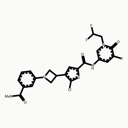 CNC(=O)c1cccc(N2CC(c3cc(C(=O)Nc4cc(F)c(=O)n(CC(F)F)c4)sc3Cl)C2)c1